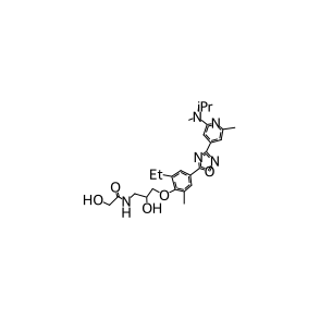 CCc1cc(-c2nc(-c3cc(C)nc(N(C)C(C)C)c3)no2)cc(C)c1OCC(O)CNC(=O)CO